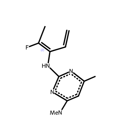 C=C/C(Nc1nc(C)cc(NC)n1)=C(\C)F